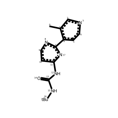 Cc1cnccc1-c1nccc(NC(=O)NC(C)(C)C)n1